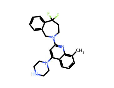 Cc1cccc2c(N3CCNCC3)cc(N3CCC(F)(F)c4ccccc4C3)nc12